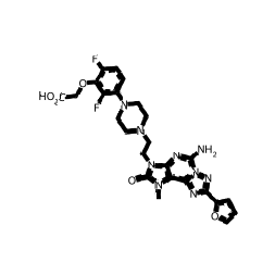 Cn1c(=O)n(CCN2CCN(c3ccc(F)c(OCC(=O)O)c3F)CC2)c2nc(N)n3nc(-c4ccco4)nc3c21